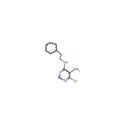 Cc1c(Cl)ncnc1NCCc1ccccc1